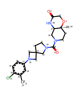 O=C1CO[C@H]2CCN(C(=O)N3CCC4(C3)CN(c3ccc(Cl)c(C(F)(F)F)c3)C4)CC2N1